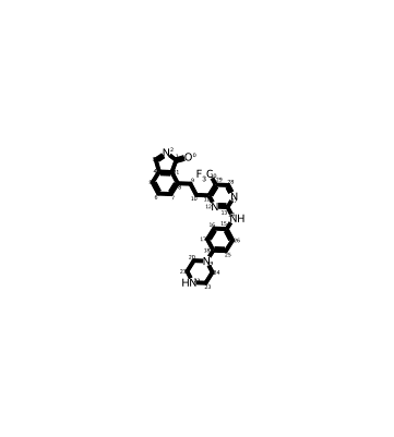 O=C1N=Cc2cccc(CCc3nc(Nc4ccc(N5CCNCC5)cc4)ncc3C(F)(F)F)c21